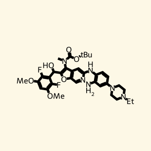 CCN1CCN(c2ccc(Nc3cc4c(N(C)C(=O)OC(C)(C)C)c(C(O)c5c(F)c(OC)cc(OC)c5F)oc4cn3)c(N)c2)CC1